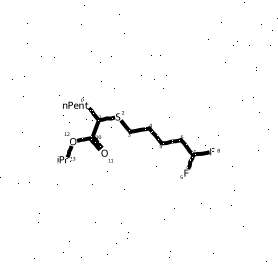 CCCCCC(SCCCCC(F)F)C(=O)OC(C)C